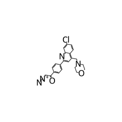 [N-]=[N+]=CC(=O)c1ccc(-c2cc(CN3CCOCC3)c3ccc(Cl)cc3n2)cc1